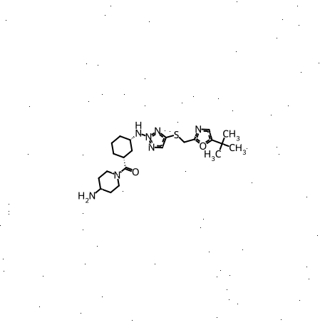 CC(C)(C)c1cnc(CSc2cnn(N[C@H]3CCC[C@@H](C(=O)N4CCC(N)CC4)C3)n2)o1